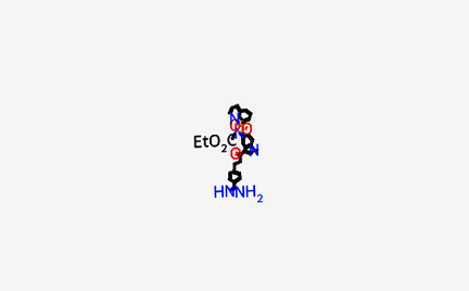 CCOC(=O)CN(c1ccc2c(c1)c(C(=O)CCc1ccc(C(=N)N)cc1)cn2C)S(=O)(=O)c1cccc2cccnc12